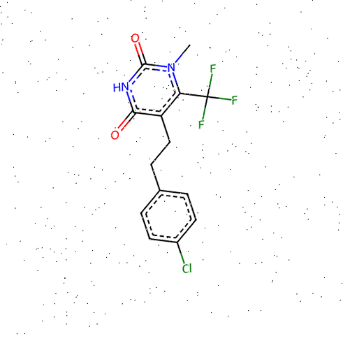 Cn1c(C(F)(F)F)c(CCc2ccc(Cl)cc2)c(=O)[nH]c1=O